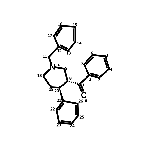 O=C(c1ccccc1)[C@H]1CN(Cc2ccccc2)C[CH][C@@H]1c1ccccc1